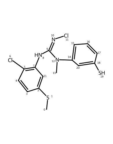 CSc1ccc(Cl)c(N/C(=N/Cl)N(C)c2cccc(S)c2)c1